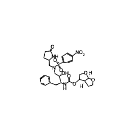 O=C1CC[C@H](CN(C[C@@H](O)[C@H](Cc2ccccc2)NC(=O)OC2CO[C@H]3OCC[C@@H]23)S(=O)(=O)c2ccc([N+](=O)[O-])cc2)N1